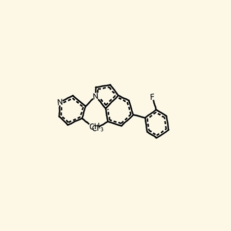 Cc1ccncc1-n1ccc2cc(-c3ccccc3F)cc(Cl)c21